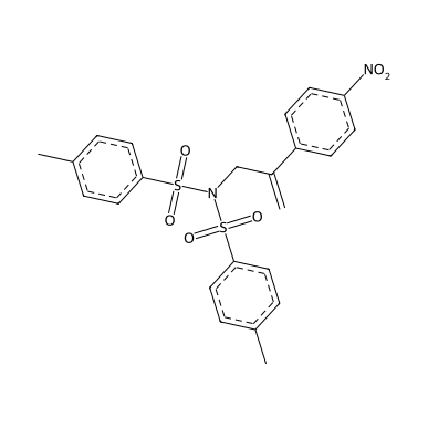 C=C(CN(S(=O)(=O)c1ccc(C)cc1)S(=O)(=O)c1ccc(C)cc1)c1ccc([N+](=O)[O-])cc1